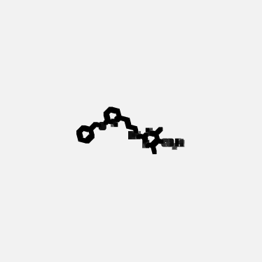 CCOC(=O)c1c(C)nc(NCC=Cc2cccc(OCc3ccccc3)n2)nc1C